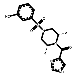 C[C@@H]1CN(S(=O)(=O)c2cccc(C#N)c2)C[C@H](C)N1C(=O)c1c[nH]nn1